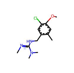 C/N=C(/NCc1cc(Cl)c(OC)cc1C)N(C)C